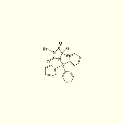 CCC1(C(C)C)C(=O)N(C(C)C)C(=O)N1[Si](c1ccccc1)(c1ccccc1)c1ccccc1